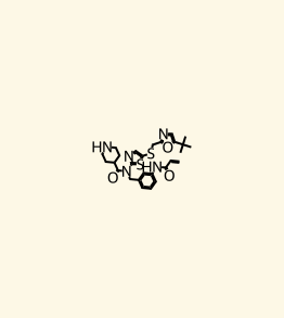 C=CC(=O)Nc1cccc(CN(C(=O)C2CCNCC2)c2ncc(SCc3ncc(C(C)(C)C)o3)s2)c1